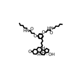 CCCCCNC(=O)CCOc1cc(CCCC2CC3CC(=O)CC[C@]3(C)[C@@H]3CC[C@]4(C)C(O)CC[C@H]4[C@H]23)cc(OCCC(=O)NCCCCC)c1